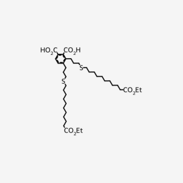 CCOC(=O)CCCCCCCCCCSCCCc1ccc(C(=O)O)c(C(=O)O)c1CCCSCCCCCCCCCCC(=O)OCC